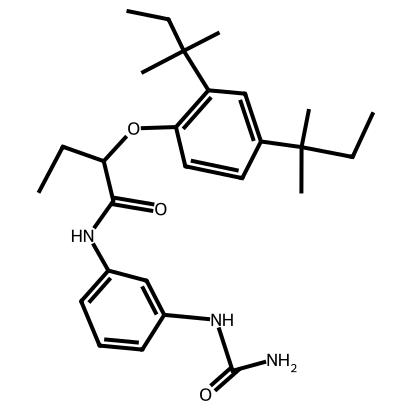 CCC(Oc1ccc(C(C)(C)CC)cc1C(C)(C)CC)C(=O)Nc1cccc(NC(N)=O)c1